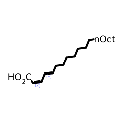 CCCCCCCCCCCCCCC/C=C/C=C\C(=O)O